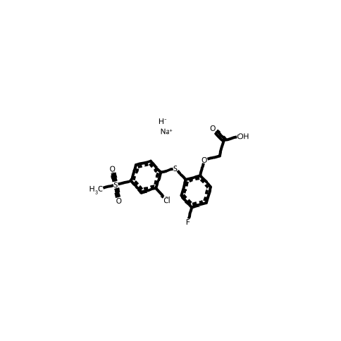 CS(=O)(=O)c1ccc(Sc2cc(F)ccc2OCC(=O)O)c(Cl)c1.[H-].[Na+]